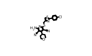 N#Cc1c(N)nc(SCc2csc(-c3ccc(Cl)cc3)n2)c(C#N)c1C1CCOCC1